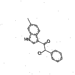 Cc1ccc2c(C(=O)C(Cl)c3ccccc3)c[nH]c2c1